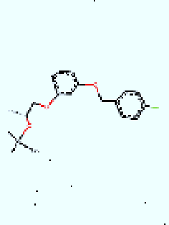 [CH2][C@H](COc1cccc(OCc2ccc(F)cc2)c1)O[Si](C)(C)C(C)(C)C